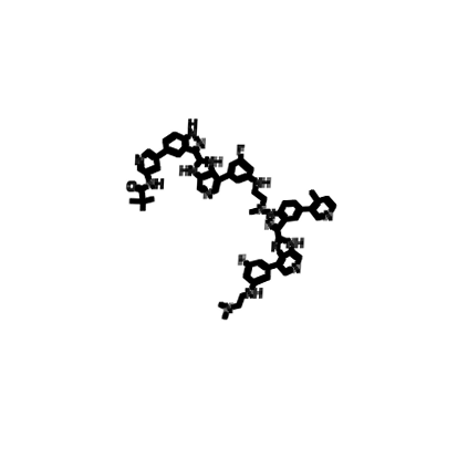 Cc1ccncc1-c1ccc2c(c1)c(-c1nc3c(-c4cc(F)cc(NCCN(C)C)c4)cncc3[nH]1)nn2N(C)CCNc1cc(F)cc(-c2cncc3c2NC(c2n[nH]c4ccc(-c5cncc(NC(=O)C(C)(C)C)c5)cc24)N3)c1